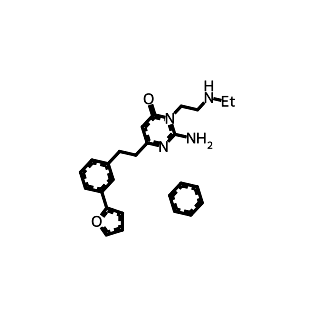 CCNCCn1c(N)nc(CCc2cccc(-c3ccco3)c2)cc1=O.c1ccccc1